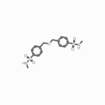 CNS(=O)(=O)c1ccc(COCc2ccc(S(=O)(=O)NC)cc2)cc1